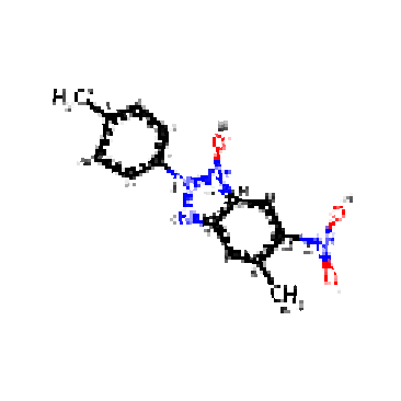 Cc1ccc(-n2nc3cc(C)c([N+](=O)[O-])cc3[n+]2[O-])cc1